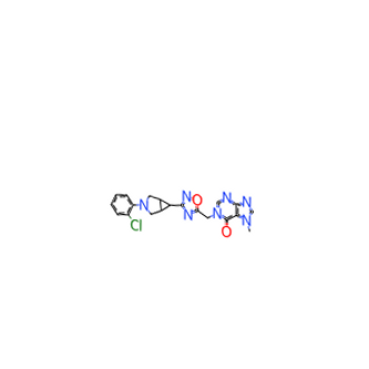 Cn1cnc2ncn(Cc3nc(C4C5CN(c6ccccc6Cl)CC54)no3)c(=O)c21